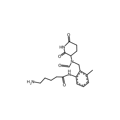 Cc1cccc(NC(=O)CCCCN)c1CN(C=O)C1CCC(=O)NC1=O